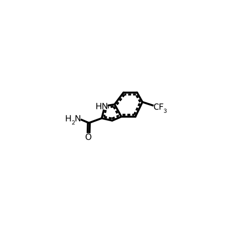 NC(=O)c1cc2cc(C(F)(F)F)ccc2[nH]1